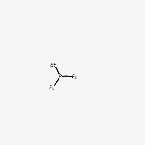 [CH2]CP(CC)CC